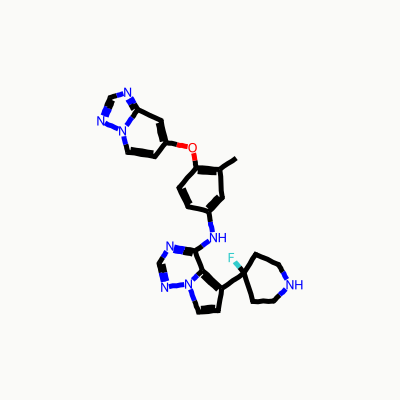 Cc1cc(Nc2ncnn3ccc(C4(F)CCNCC4)c23)ccc1Oc1ccn2ncnc2c1